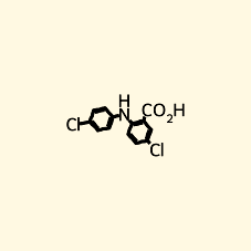 O=C(O)c1cc(Cl)ccc1Nc1ccc(Cl)cc1